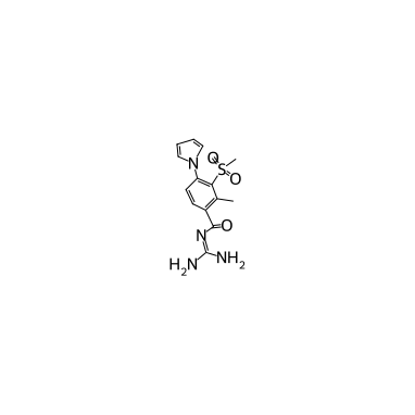 Cc1c(C(=O)N=C(N)N)ccc(-n2cccc2)c1S(C)(=O)=O